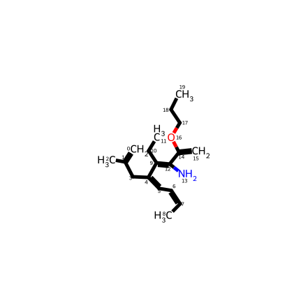 C=C(C)CC(=C/C=C\C)/C(CC)=C(\N)C(=C)OCCC